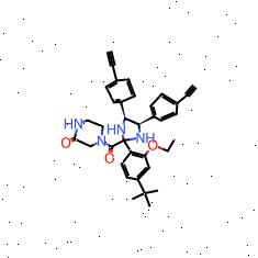 C#Cc1ccc([C@H]2NC(C(=O)N3CCNC(=O)C3)(c3ccc(C(C)(C)C)cc3OCC)N[C@H]2c2ccc(C#C)cc2)cc1